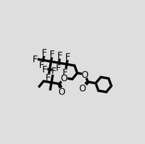 CCC(C)(C)C(=O)OCC(CC(F)(F)C(F)(F)C(F)(C(F)(F)F)C(F)(F)F)OC(=O)C1CCCCC1